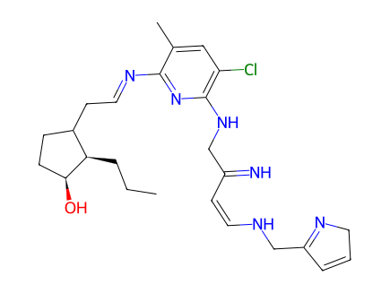 CCC[C@@H]1C(C/C=N/c2nc(NCC(=N)/C=C\NCC3=NCC=C3)c(Cl)cc2C)CC[C@@H]1O